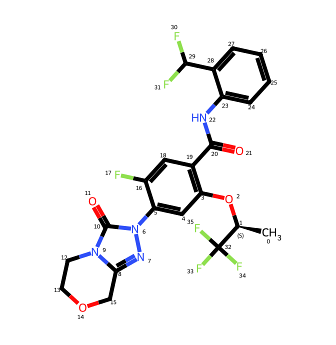 C[C@H](Oc1cc(-n2nc3n(c2=O)CCOC3)c(F)cc1C(=O)Nc1ccccc1C(F)F)C(F)(F)F